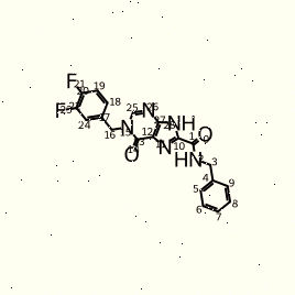 O=C(NCc1ccccc1)c1nc2c(=O)n(Cc3ccc(F)c(F)c3)cnc2[nH]1